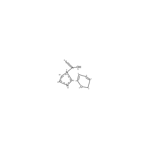 C1=CCOC=C1.OC(=S)n1ccnc1